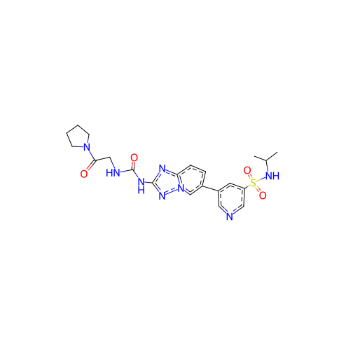 CC(C)NS(=O)(=O)c1cncc(-c2ccc3nc(NC(=O)NCC(=O)N4CCCC4)nn3c2)c1